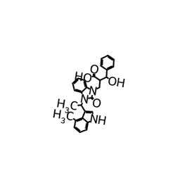 Cc1cccc2[nH]cc(C(C)n3c(=O)n(CC(C(=O)O)C(O)c4ccccc4)c4ccccc43)c12